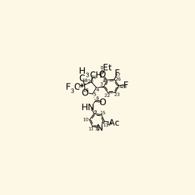 CCOc1c([C@H]2[C@H](C(=O)Nc3ccnc(C(C)=O)c3)O[C@@](C)(C(F)(F)F)[C@H]2C)ccc(F)c1F